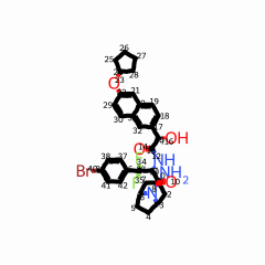 NC1CC2CCC(C1)N2C(=O)[C@H](NC(=O)[C@H](O)c1ccc2cc(OC3CCCC3)ccc2c1)C(F)(F)c1ccc(Br)cc1